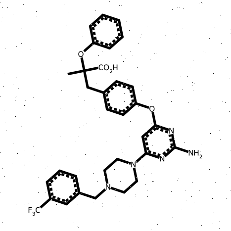 CC(Cc1ccc(Oc2cc(N3CCN(Cc4cccc(C(F)(F)F)c4)CC3)nc(N)n2)cc1)(Oc1ccccc1)C(=O)O